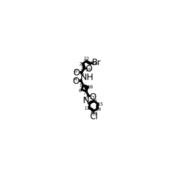 O=C(NC(=O)C12CC(c3nc4cc(Cl)ccc4o3)(C1)C2)c1ccc(Br)o1